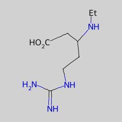 CCNC(CCNC(=N)N)CC(=O)O